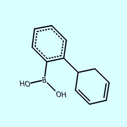 OB(O)c1ccccc1C1C=CC=CC1